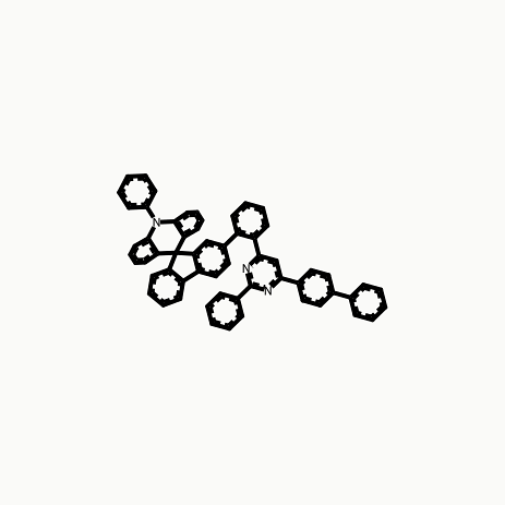 c1ccc(-c2ccc(-c3cc(-c4ccccc4-c4ccc5c(c4)C4(c6ccccc6-5)c5ccccc5N(c5ccccc5)c5ccccc54)nc(-c4ccccc4)n3)cc2)cc1